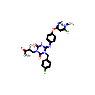 C=N/C(Cl)=C\C(=N/C)Oc1ccc(/N=c2\[nH]c(=O)n(C[C@H](C)C(=O)OC)c(=O)n2Cc2ccc(Cl)cc2)cc1